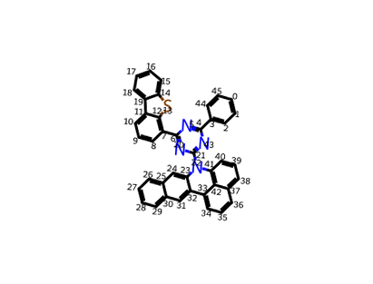 c1ccc(-c2nc(-c3cccc4c3sc3ccccc34)nc(N3c4cc5ccccc5cc4-c4cccc5cccc3c45)n2)cc1